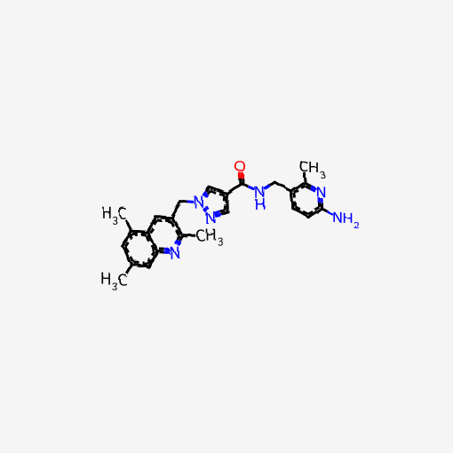 Cc1cc(C)c2cc(Cn3cc(C(=O)NCc4ccc(N)nc4C)cn3)c(C)nc2c1